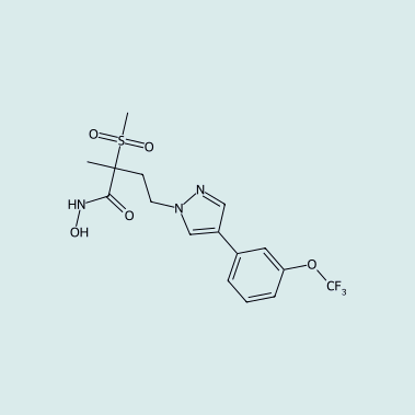 CC(CCn1cc(-c2cccc(OC(F)(F)F)c2)cn1)(C(=O)NO)S(C)(=O)=O